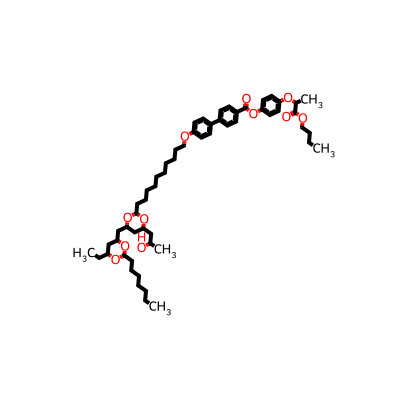 CCCCCCCC1OC(CC)CC(CC2CC(CC(C)O)OC(CCCCCCCCCCOc3ccc(-c4ccc(C(=O)Oc5ccc(OC(C)C(=O)OCCCC)cc5)cc4)cc3)O2)O1